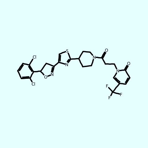 O=C(CCn1cc(C(F)(F)F)ccc1=O)N1CCC(c2nc(C3=NOC(c4c(Cl)cccc4Cl)C3)cs2)CC1